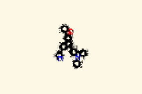 c1ccc(-n2c3ccccc3c3cc(-c4cc5cc6oc7ccccc7c6cc5c5ccc(-c6cccnc6)cc45)ccc32)cc1